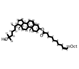 CCCCCCCC/C=C\CCCCCCCC(=O)OC1CC[C@@]2(C)C(=CCC3C2CC[C@@]2(C)C3CC[C@@H]2[C@H](C)CCCC(C)(C)O)C1